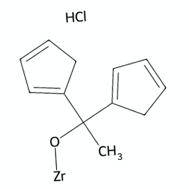 CC([O][Zr])(C1=CC=CC1)C1=CC=CC1.Cl